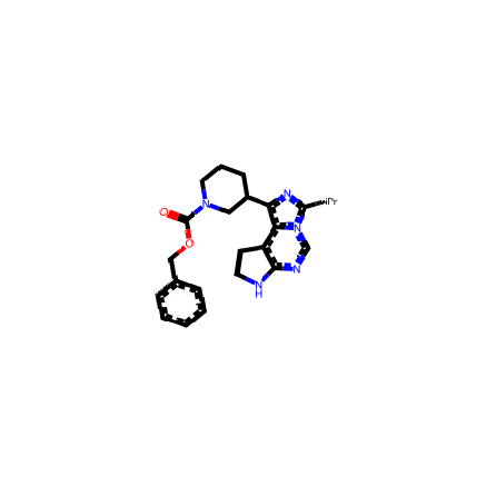 CC(C)c1nc(C2CCCN(C(=O)OCc3ccccc3)C2)c2c3c(ncn12)NCC3